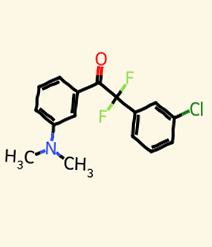 CN(C)c1cccc(C(=O)C(F)(F)c2cccc(Cl)c2)c1